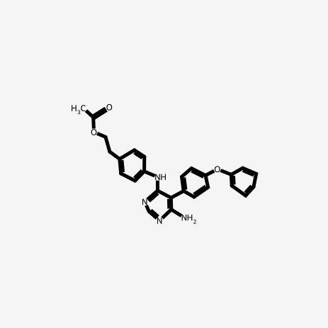 CC(=O)OCCc1ccc(Nc2ncnc(N)c2-c2ccc(Oc3ccccc3)cc2)cc1